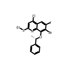 CCSc1cc(Cl)c2cc(I)c(Br)c(O[C@@H](C)c3ccccc3)c2n1